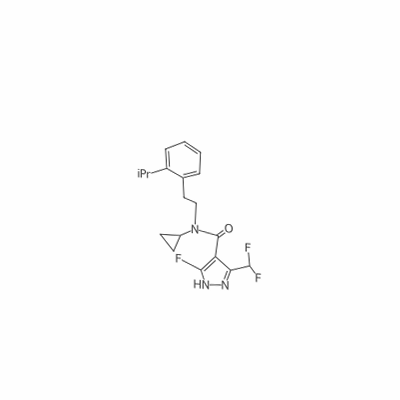 CC(C)c1ccccc1CCN(C(=O)c1c(C(F)F)n[nH]c1F)C1CC1